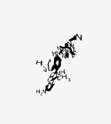 CCc1cc(Nc2nccn3c(-c4cn(CC#N)nc4C(F)(F)F)cnc23)ccc1C(=O)N[C@H](C)C(=O)N1CC[C@H](N)C1